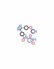 Cn1cnc(-c2ccc3c(c2)CN(C2CCC(=O)NC2=O)C3=O)c1-c1ccc(Oc2cccnc2)cc1